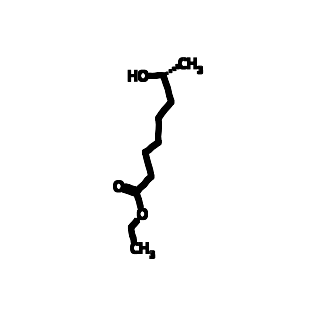 CCOC(=O)CCCCC[C@@H](C)O